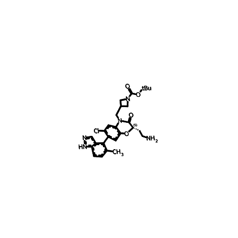 Cc1ccc2[nH]ncc2c1-c1cc2c(cc1Cl)N(CC1CN(C(=O)OC(C)(C)C)C1)C(=O)[C@H](CCN)O2